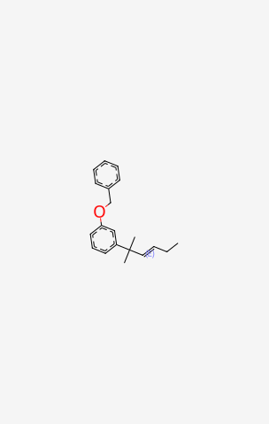 CC/C=C/C(C)(C)c1cccc(OCc2ccccc2)c1